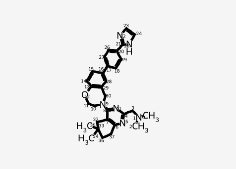 CN(C)Cc1nc2c(c(N3CCOc4ccc(-c5ccc(-c6ncc[nH]6)cc5)cc4C3)n1)CC(C)(C)CC2